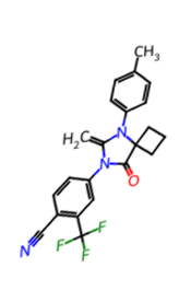 C=C1N(c2ccc(C#N)c(C(F)(F)F)c2)C(=O)C2(CCC2)N1c1ccc(C)cc1